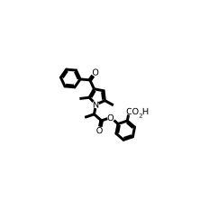 Cc1cc(C(=O)c2ccccc2)c(C)n1C(C)C(=O)Oc1ccccc1C(=O)O